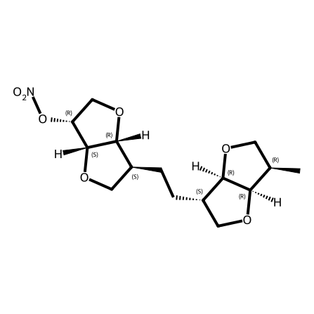 C[C@@H]1CO[C@@H]2[C@@H](CC[C@H]3CO[C@H]4[C@@H]3OC[C@H]4O[N+](=O)[O-])CO[C@@H]21